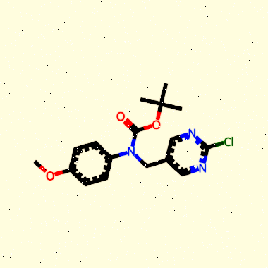 COc1ccc(N(Cc2cnc(Cl)nc2)C(=O)OC(C)(C)C)cc1